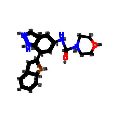 O=C(Nc1cc(-c2cc3ccccc3s2)c2[nH]ncc2c1)N1CCOCC1